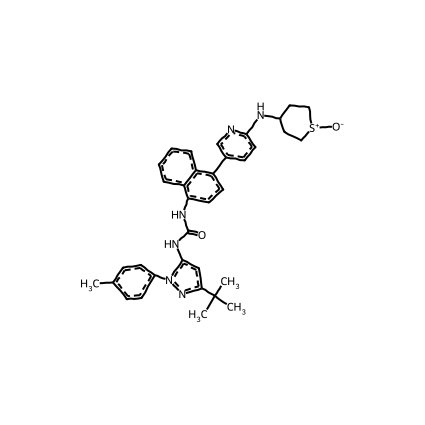 Cc1ccc(-n2nc(C(C)(C)C)cc2NC(=O)Nc2ccc(-c3ccc(NC4CC[S+]([O-])CC4)nc3)c3ccccc23)cc1